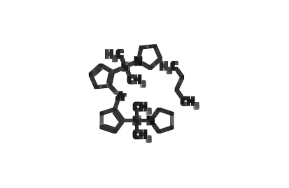 CCCC.C[Si](C)(C1=[C]([Zr][C]2=C([Si](C)(C)N3CCCC3)C=CC2)CC=C1)N1CCCC1